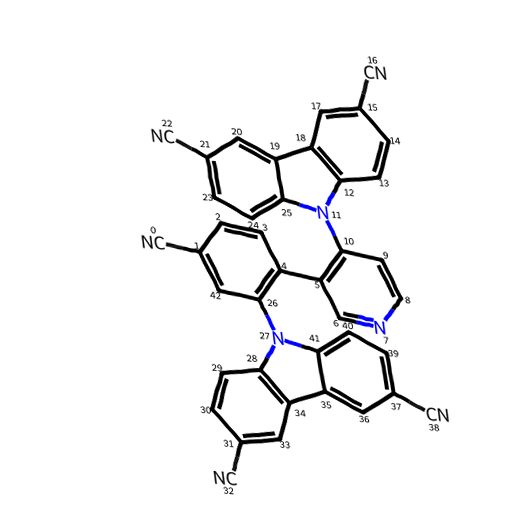 N#Cc1ccc(-c2cnccc2-n2c3ccc(C#N)cc3c3cc(C#N)ccc32)c(-n2c3ccc(C#N)cc3c3cc(C#N)ccc32)c1